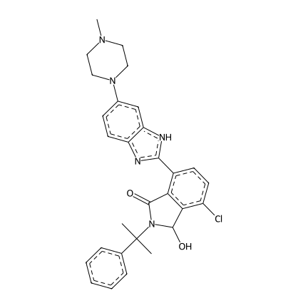 CN1CCN(c2ccc3nc(-c4ccc(Cl)c5c4C(=O)N(C(C)(C)c4ccccc4)C5O)[nH]c3c2)CC1